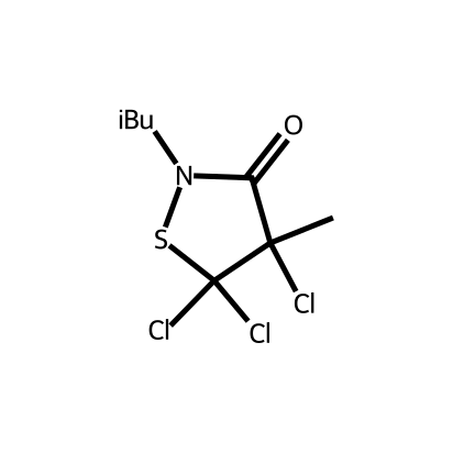 CCC(C)N1SC(Cl)(Cl)C(C)(Cl)C1=O